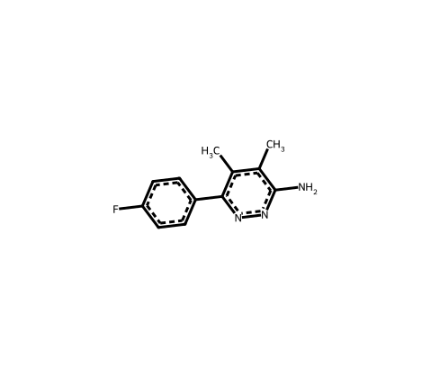 Cc1c(N)nnc(-c2ccc(F)cc2)c1C